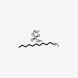 CCCCCCCCCCN.O=S(=O)([O-])O.[Na+]